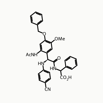 COc1cc([C@H](Nc2ccc(C#N)cc2)C(=O)NC(C(=O)O)c2ccccc2)c(NC(C)=O)cc1OCc1ccccc1